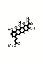 COC(=O)CCc1ccc(O)c2c1CC1CC3CC(O)=C(C(N)=O)C(=O)C3C(O)=C1C2=O